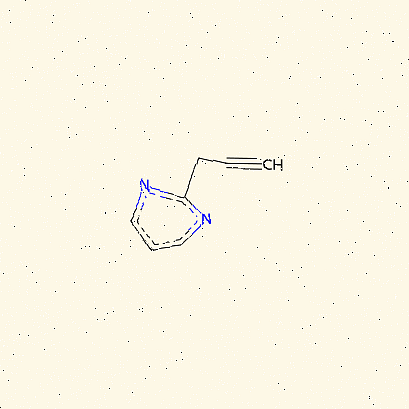 C#CCc1ncccn1